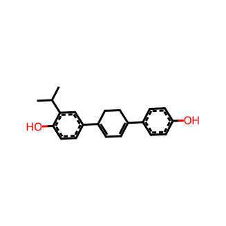 CC(C)c1cc(C2=CC=C(c3ccc(O)cc3)CC2)ccc1O